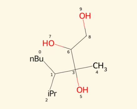 CCCCC(C(C)C)C(C)(O)C(O)CO